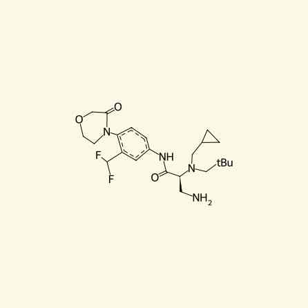 CC(C)(C)CN(CC1CC1)[C@@H](CN)C(=O)Nc1ccc(N2CCOCC2=O)c(C(F)F)c1